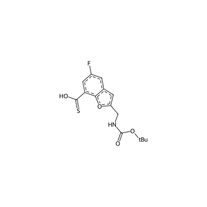 CC(C)(C)OC(=O)NCc1cc2cc(F)cc(C(O)=S)c2o1